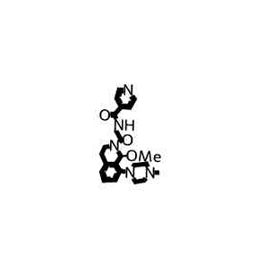 CO[C@H]1c2c(cccc2N2CCN(C)CC2)CCN1C(=O)CNC(=O)c1ccncc1